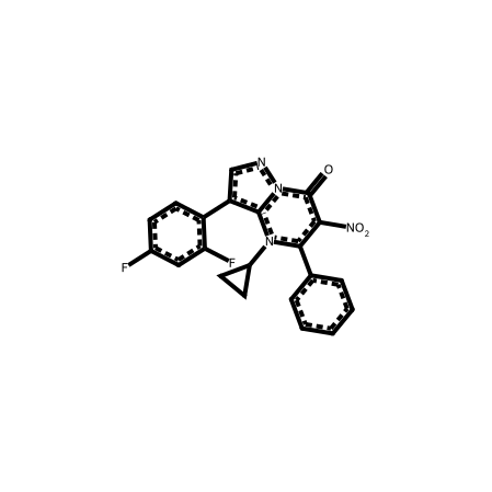 O=c1c([N+](=O)[O-])c(-c2ccccc2)n(C2CC2)c2c(-c3ccc(F)cc3F)cnn12